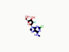 CNc1nc(Cl)nc2c1ncn2[C@@H]1O[C@H](CO)C(O)[C@H]1F